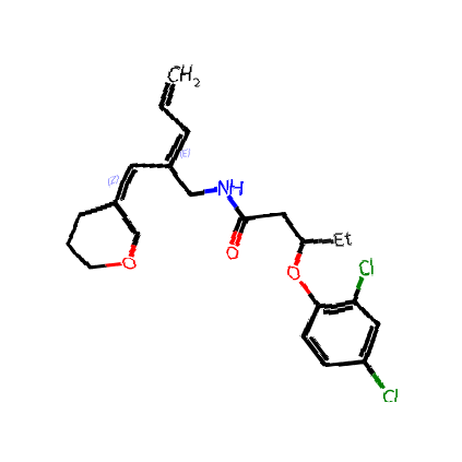 C=C/C=C(\C=C1\CCCOC1)CNC(=O)CC(CC)Oc1ccc(Cl)cc1Cl